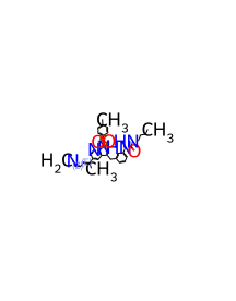 C=N/C=C\C=C(/C)c1cnc2c(c1)c(Cc1cccc(NC(=O)NCCCC)c1)cn2S(=O)(=O)c1ccc(C)cc1